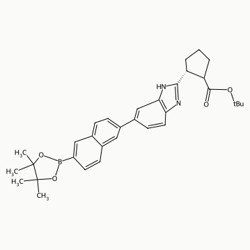 CC(C)(C)OC(=O)C1CCC[C@H]1c1nc2ccc(-c3ccc4cc(B5OC(C)(C)C(C)(C)O5)ccc4c3)cc2[nH]1